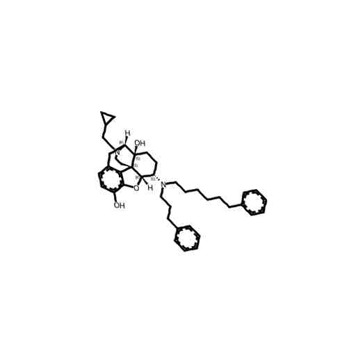 Oc1ccc2c3c1O[C@H]1[C@@H](N(CCCCCCc4ccccc4)CCCc4ccccc4)CC[C@@]4(O)[C@@H](C2)N(CC2CC2)CC[C@]314